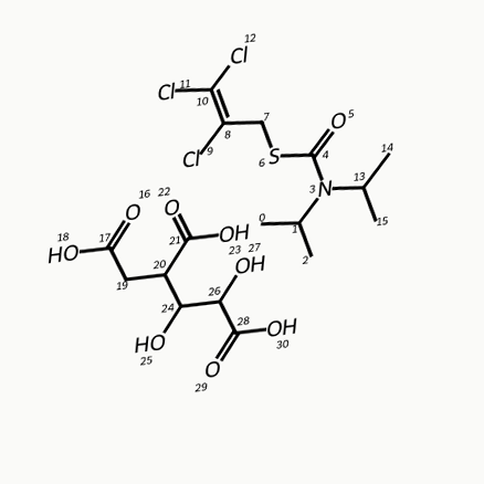 CC(C)N(C(=O)SCC(Cl)=C(Cl)Cl)C(C)C.O=C(O)CC(C(=O)O)C(O)C(O)C(=O)O